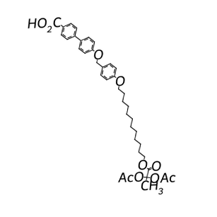 CC(=O)OC(C)(OC(C)=O)C(=O)OCCCCCCCCCCCCOc1ccc(COc2ccc(-c3ccc(C(=O)O)cc3)cc2)cc1